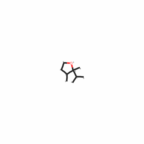 CC(C)C1(C)OCCC1C